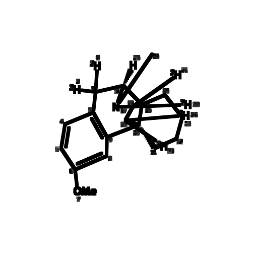 [2H]C1([2H])c2ccc(OC)cc2[C@]23CCCCC2[C@H]1N(C)C([2H])([2H])C3([2H])[2H]